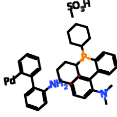 CN(C)c1ccccc1-c1ccccc1P(C1CCCCC1)C1CCCCC1.CS(=O)(=O)O.Nc1ccccc1-c1cccc[c]1[Pd]